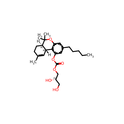 CCCCCc1cc(OC(=O)OC[C@@H](O)CO)c2c(c1)OC(C)(C)[C@@H]1CCC(C)=C[C@@H]21